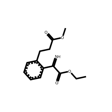 CCOC(=O)C(=N)c1ccccc1CCC(=O)OC